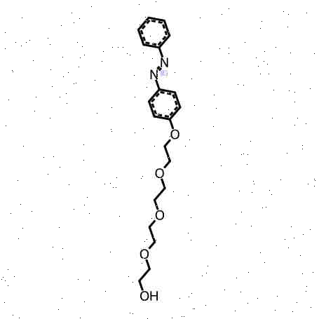 OCCOCCOCCOCCOc1ccc(/N=N/c2ccccc2)cc1